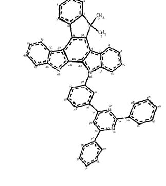 CC1(C)c2ccccc2-c2c1c1c3ccccc3n(-c3cccc(-c4cc(-c5ccccc5)nc(-c5ccccc5)n4)c3)c1c1sc3ccccc3c21